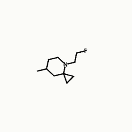 CC1CCN(CCF)C2(CC2)C1